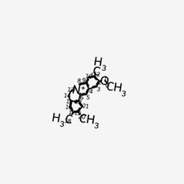 COc1cc2cc3[n+](cc2cc1C)CCc1cc(C)c(C)cc1-3